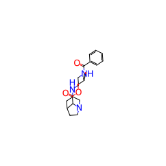 C=CCOC(=O)C1C2CCN1CC(NCCNC(=O)c1ccccc1)C2